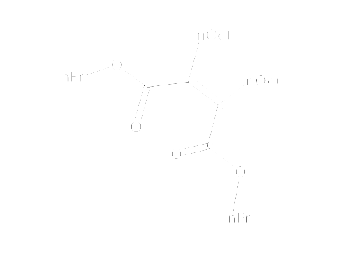 CCCCCCCC/C(C(=O)OCCC)=C(\CCCCCCCC)C(=O)OCCC